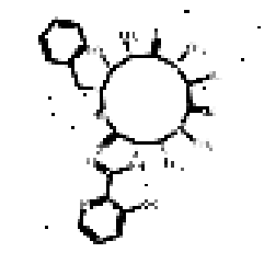 CCC(C)C1C(=O)N(C)[C@H](C)[C@H](NC(=O)c2ncccc2O)C(=O)N[C@@H](Cc2ccccc2)[C@@H](O)[C@@H](C)C(=O)N1C